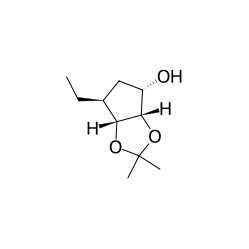 CC[C@H]1C[C@H](O)[C@@H]2OC(C)(C)O[C@H]12